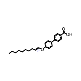 CCCCCCCC/C=C/Oc1ccc(-c2ccc(C(=O)O)cc2)cc1